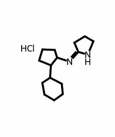 C1CCC(C2CCCC2N=C2CCCN2)CC1.Cl